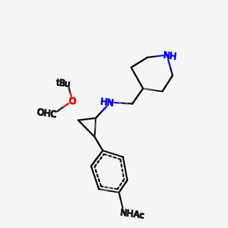 CC(=O)Nc1ccc(C2CC2NCC2CCNCC2)cc1.CC(C)(C)OC=O